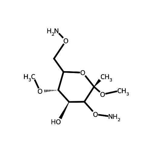 CO[C@@H]1C(CON)O[C@](C)(OC)C(ON)[C@H]1O